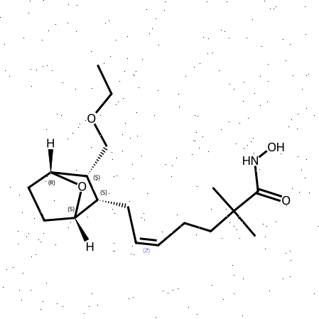 CCOC[C@@H]1[C@H](C/C=C\CCC(C)(C)C(=O)NO)[C@@H]2CC[C@H]1O2